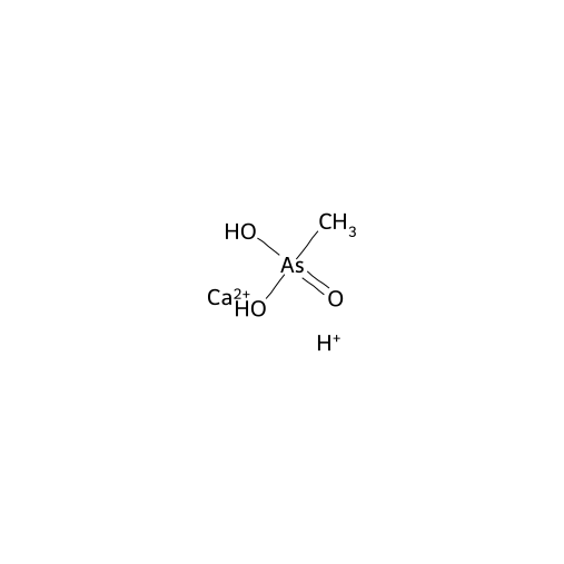 C[As](=O)(O)O.[Ca+2].[H+]